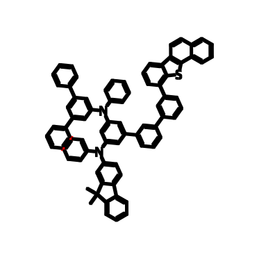 CC1(C)c2ccccc2-c2ccc(N(c3ccccc3)c3cc(-c4cccc(-c5cccc(-c6cccc7c6sc6c8ccccc8ccc76)c5)c4)cc(N(c4ccccc4)c4cc(-c5ccccc5)cc(-c5ccccc5)c4)c3)cc21